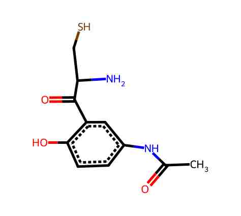 CC(=O)Nc1ccc(O)c(C(=O)C(N)CS)c1